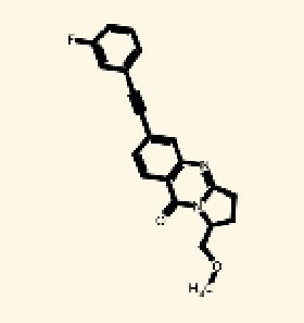 COCC1CCc2nc3cc(C#Cc4cccc(F)c4)ccc3c(=O)n21